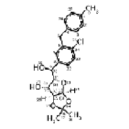 Cc1ccc(Cc2cc([C@H](O)[C@@H]3O[C@H]4OC(C)(C)O[C@H]4[C@@H]3O)ccc2Cl)cc1